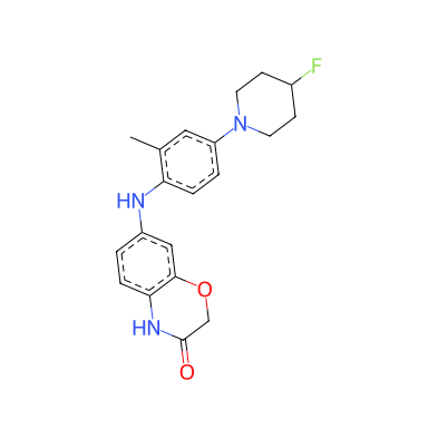 Cc1cc(N2CCC(F)CC2)ccc1Nc1ccc2c(c1)OCC(=O)N2